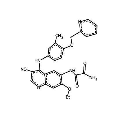 CCOc1cc2ncc(C#N)c(Nc3ccc(OCc4ccccn4)c(C)c3)c2cc1NC(=O)C(N)=O